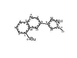 CCC(C)c1cccc2ncc(-c3cnn(C)c3)cc12